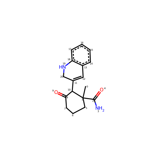 CC1(C(N)=O)CCCC(=O)C1C1=Cc2ccccc2NC1